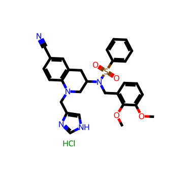 COc1cccc(CN(C2Cc3cc(C#N)ccc3N(Cc3c[nH]cn3)C2)S(=O)(=O)c2ccccc2)c1OC.Cl